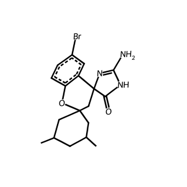 CC1CC(C)CC2(C1)CC1(N=C(N)NC1=O)c1cc(Br)ccc1O2